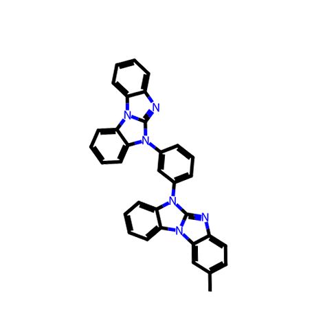 Cc1ccc2nc3n(-c4cccc(-n5c6ccccc6n6c7ccccc7nc56)c4)c4ccccc4n3c2c1